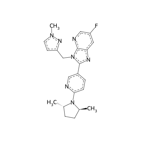 C[C@H]1CC[C@H](C)N1c1ccc(-c2nc3cc(F)cnc3n2Cc2ccn(C)n2)cn1